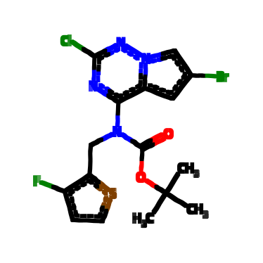 CC(C)(C)OC(=O)N(Cc1sccc1F)c1nc(Cl)nn2cc(Br)cc12